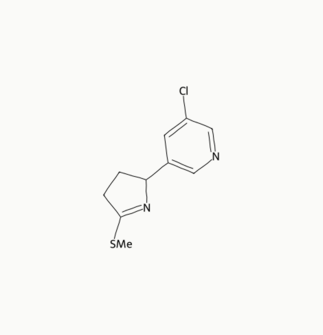 CSC1=NC(c2cncc(Cl)c2)CC1